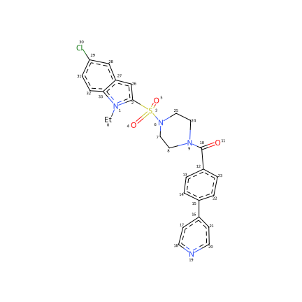 CCn1c(S(=O)(=O)N2CCN(C(=O)c3ccc(-c4ccncc4)cc3)CC2)cc2cc(Cl)ccc21